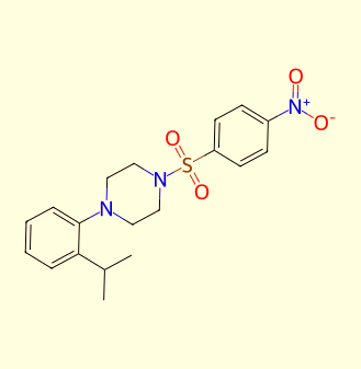 CC(C)c1ccccc1N1CCN(S(=O)(=O)c2ccc([N+](=O)[O-])cc2)CC1